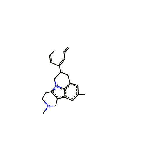 C=C/C=C(\C=C/C)C1Cc2cc(C)cc3c4c(n(c23)C1)CCN(C)C4